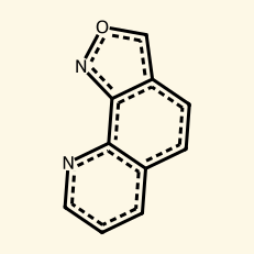 c1cnc2c(c1)ccc1conc12